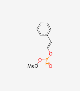 COO[PH](=O)OC=Cc1ccccc1